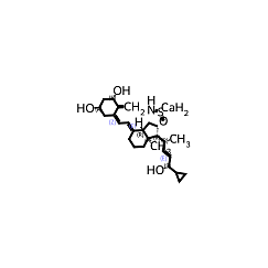 C=C1/C(=C\C=C2/CCC[C@]3(C)[C@@H]([C@H](C)/C=C/[C@@H](O)C4CC4)CC[C@@H]23)C[C@@H](O)C[C@@H]1O.N=S=O.[CaH2]